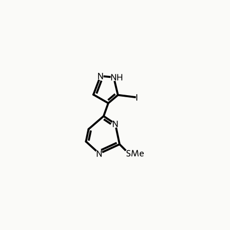 CSc1nccc(-c2cn[nH]c2I)n1